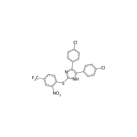 O=[N+]([O-])c1cc(C(F)(F)F)ccc1Sc1nc(-c2ccc(Cl)cc2)c(-c2ccc(Cl)cc2)[nH]1